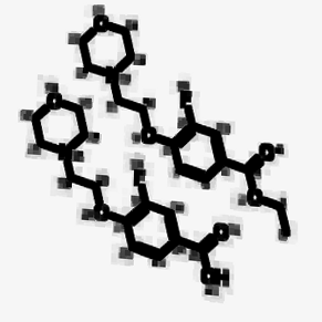 CCOC(=O)c1ccc(OCCN2CCOCC2)c(F)c1.O=C(O)c1ccc(OCCN2CCOCC2)c(F)c1